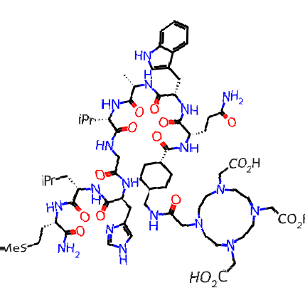 CSCC[C@H](NC(=O)[C@H](CC(C)C)NC(=O)[C@H](Cc1c[nH]cn1)NC(=O)CNC(=O)[C@@H](NC(=O)[C@H](C)NC(=O)[C@H](Cc1c[nH]c2ccccc12)NC(=O)[C@H](CCC(N)=O)NC(=O)[C@H]1CC[C@H](CNC(=O)CN2CCN(CC(=O)O)CCN(CC(=O)O)CCN(CC(=O)O)CC2)CC1)C(C)C)C(N)=O